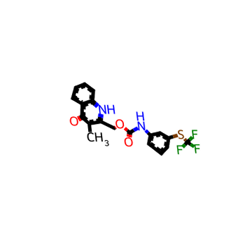 Cc1c(COC(=O)Nc2cccc(SC(F)(F)F)c2)[nH]c2ccccc2c1=O